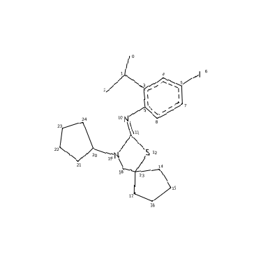 CC(C)c1cc(I)ccc1N=C1SC2(CCCC2)CN1C1CCCC1